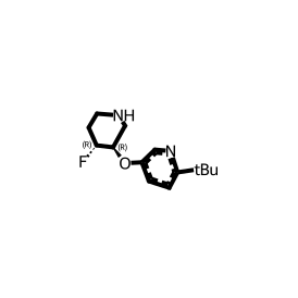 CC(C)(C)c1ccc(O[C@@H]2CNCC[C@H]2F)cn1